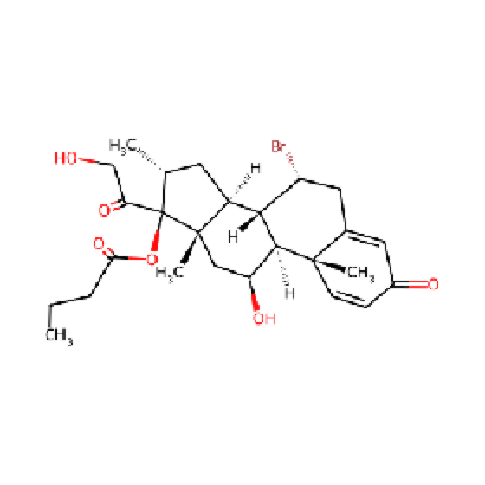 CCCC(=O)O[C@@]1(C(=O)CO)[C@H](C)C[C@H]2[C@H]3[C@H]([C@@H](O)C[C@@]21C)[C@@]1(C)C=CC(=O)C=C1C[C@H]3Br